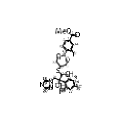 COC(=O)c1ccc([C@H]2OC[C@@H](S[C@H](C)[C@](O)(Cn3cncn3)c3ccc(F)cc3F)CO2)c(F)c1